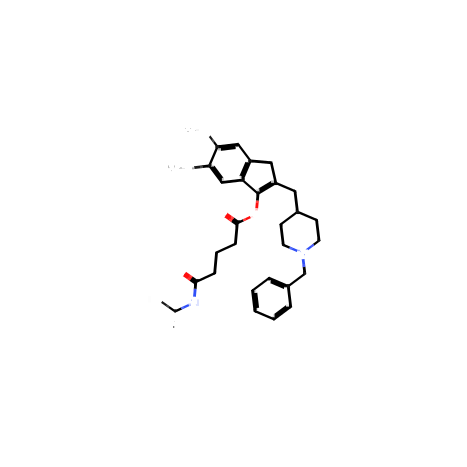 CCOC(=O)[C@@H](NC(=O)CCCC(=O)OC1=C(CC2CCN(Cc3ccccc3)CC2)Cc2cc(OC)c(OC)cc21)C(C)C